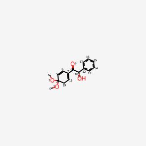 COC1(OC)C=CC(C(=O)C(O)c2ccccc2)=CC1